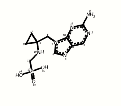 Nc1ncc2ncn(CC3(NCP(=O)(O)O)CC3)c2n1